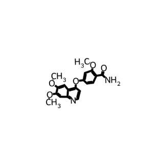 COc1cc2nccc(Oc3ccc(C(N)=O)c(OC)c3)c2cc1OC